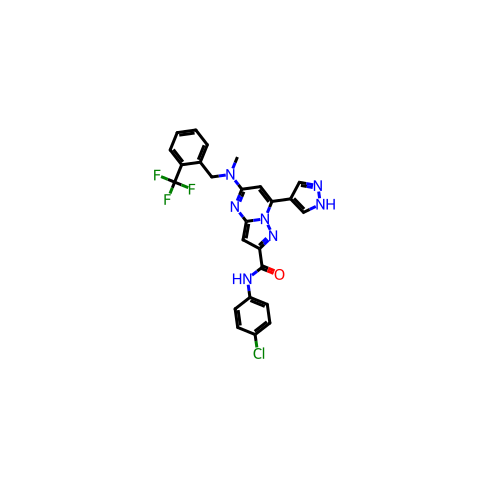 CN(Cc1ccccc1C(F)(F)F)c1cc(-c2cn[nH]c2)n2nc(C(=O)Nc3ccc(Cl)cc3)cc2n1